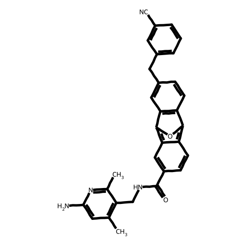 Cc1cc(N)nc(C)c1CNC(=O)c1ccc2c(c1)c1oc2c2ccc(Cc3cccc(C#N)c3)cc21